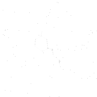 OCCCC1CCCC(O)C1